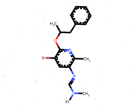 CCN(C)/C=N/c1cc(Br)c(OC(C)Cc2ccccc2)nc1C